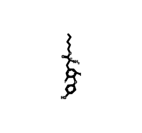 CCCCCOC(=O)[C@@H](N)Cc1cc(I)c(Oc2ccc(O)cc2)c(I)c1